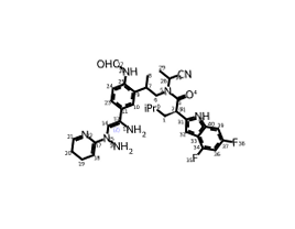 CC(C)C[C@@H](C(=O)N(CC(C)c1cc(/C(N)=C/N(N)C2=CCCC=N2)ccc1NC=O)C(C)C#N)c1cc2c(F)cc(F)cc2[nH]1